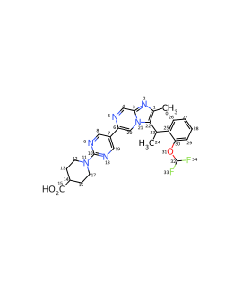 Cc1nc2cnc(-c3cnc(N4CCC(C(=O)O)CC4)nc3)cn2c1C(C)c1ccccc1OC(F)F